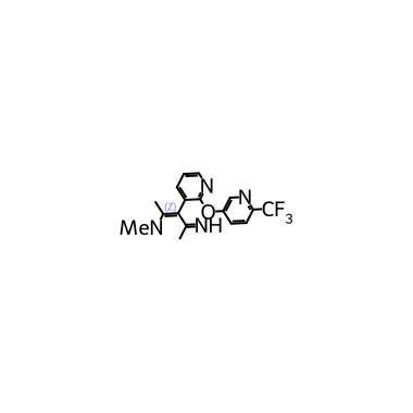 CN/C(C)=C(\C(C)=N)c1cccnc1Oc1ccc(C(F)(F)F)nc1